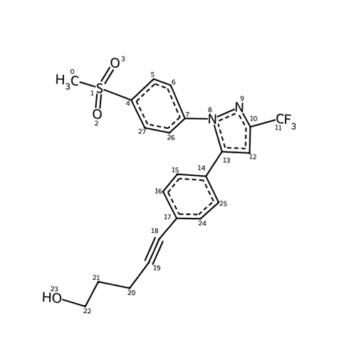 CS(=O)(=O)c1ccc(-n2nc(C(F)(F)F)cc2-c2ccc(C#CCCCO)cc2)cc1